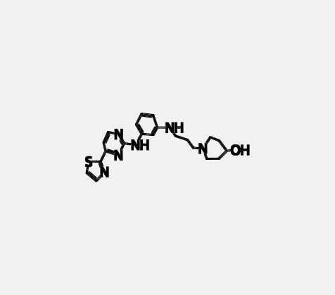 OC1CCN(CCCNc2cccc(Nc3nccc(-c4nccs4)n3)c2)CC1